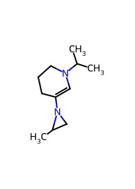 CC(C)N1C=C(N2CC2C)CCC1